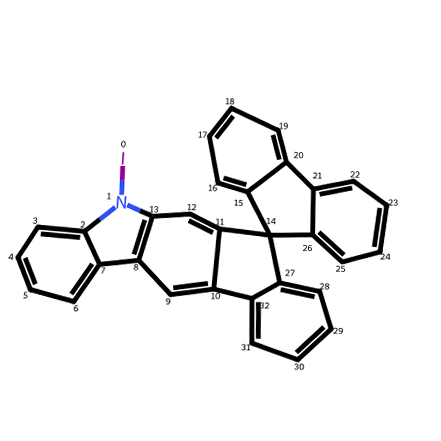 In1c2ccccc2c2cc3c(cc21)C1(c2ccccc2-c2ccccc21)c1ccccc1-3